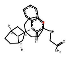 NC(=O)CNc1nc2ccccc2n([C@@H]2C[C@H]3CC[C@@H](C2)N3C2CCCCCCC2)c1=O